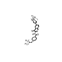 [2H]c1c(NC(=O)C2CCN(CC(C)C)CC2)ncc2ccc(-c3cnn(C)c3)cc12